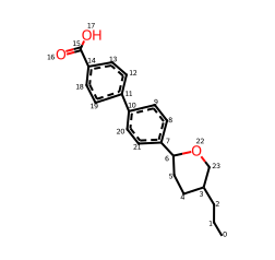 CCCC1CCC(c2ccc(-c3ccc(C(=O)O)cc3)cc2)OC1